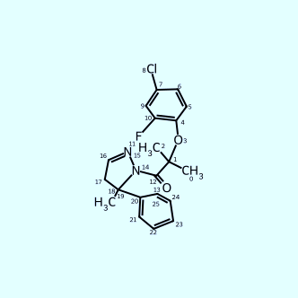 CC(C)(Oc1ccc(Cl)cc1F)C(=O)N1N=CCC1(C)c1ccccc1